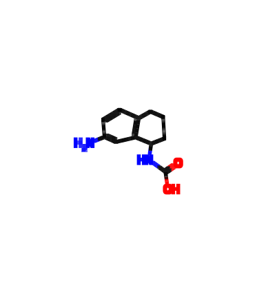 Nc1ccc2c(c1)C(NC(=O)O)CCC2